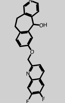 OC1c2ccncc2CCc2ccc(OCc3ccc4cc(F)c(F)cc4n3)cc21